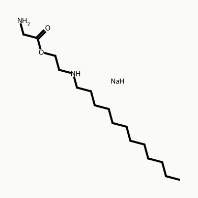 CCCCCCCCCCCCNCCOC(=O)CN.[NaH]